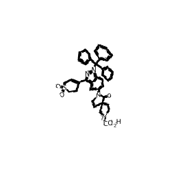 O=C(O)N1CCC2(CCN(c3ccc4c(c3)c(C3=CCS(=O)(=O)CC3)nn4C(c3ccccc3)(c3ccccc3)c3ccccc3)C2=O)C1